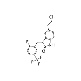 O=C1Nc2ccc(CCCl)cc2C1=Cc1cc(C(F)(F)F)ccc1F